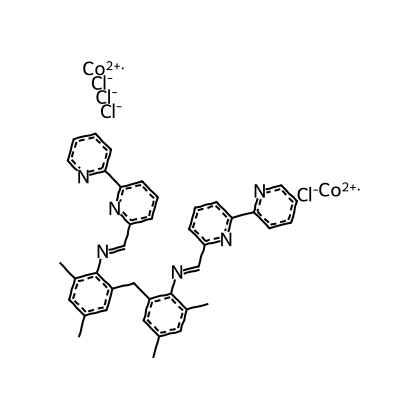 Cc1cc(C)c(N=Cc2cccc(-c3ccccn3)n2)c(Cc2cc(C)cc(C)c2N=Cc2cccc(-c3ccccn3)n2)c1.[Cl-].[Cl-].[Cl-].[Cl-].[Co+2].[Co+2]